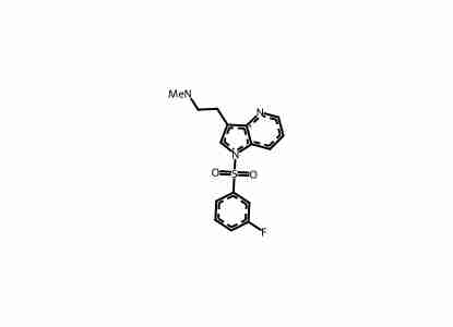 CNCCc1cn(S(=O)(=O)c2cccc(F)c2)c2cccnc12